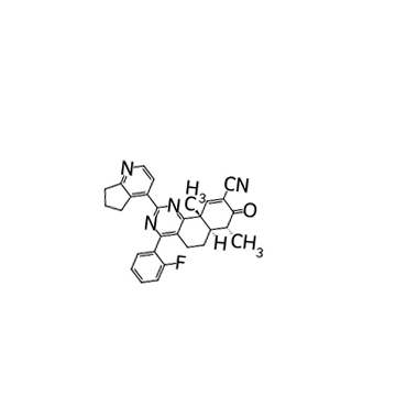 C[C@H]1C(=O)C(C#N)=C[C@@]2(C)c3nc(-c4ccnc5c4CCC5)nc(-c4ccccc4F)c3CC[C@H]12